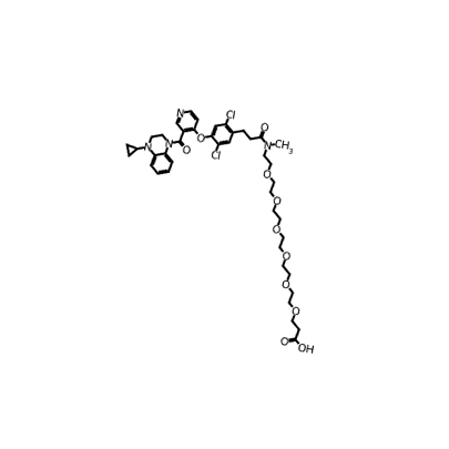 CN(CCOCCOCCOCCOCCOCCOCCC(=O)O)C(=O)CCc1cc(Cl)c(Oc2ccncc2C(=O)N2CCN(C3CC3)c3ccccc32)cc1Cl